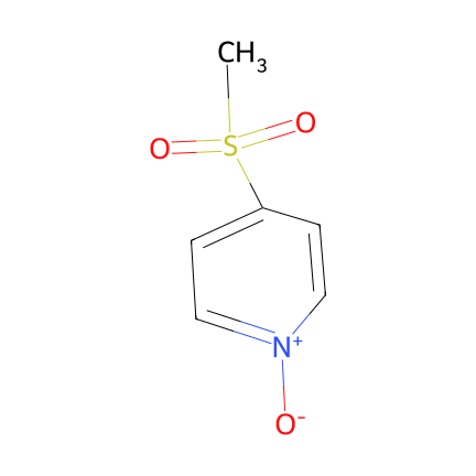 CS(=O)(=O)c1cc[n+]([O-])cc1